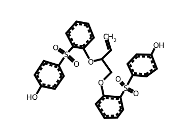 C=CC(COc1ccccc1S(=O)(=O)c1ccc(O)cc1)Oc1ccccc1S(=O)(=O)c1ccc(O)cc1